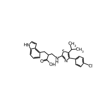 CC(C)c1sc(NCC(Cc2cccc3[nH]ccc23)C(=O)O)nc1-c1ccc(Cl)cc1